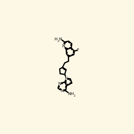 Nc1ccc2c(F)cc(CCC3=CC(n4ccc5c(N)ncnc54)CC3)cc2n1